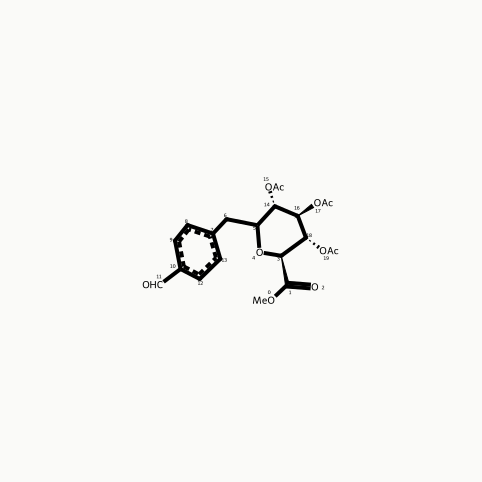 COC(=O)[C@H]1OC(Cc2ccc(C=O)cc2)[C@H](OC(C)=O)[C@@H](OC(C)=O)[C@@H]1OC(C)=O